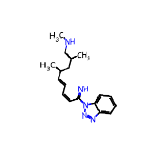 CNCC(C)CC(C)/C=C/C=C\C(=N)n1nnc2ccccc21